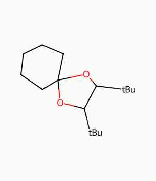 CC(C)(C)C1OC2(CCCCC2)OC1C(C)(C)C